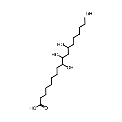 CCCCCCC(O)CC(O)C(O)CCCCCCCC(=O)O.[LiH]